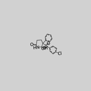 O=C1CCC(c2ccccc2)(S(=O)(=O)c2ccc(Cl)cc2)C(O)N1